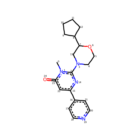 Cn1c(N2CCOC(C3CCCC3)C2)nc(-c2ccncc2)cc1=O